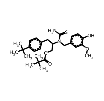 COc1cc(CN(C(N)=S)C(COC(=O)C(C)(C)C)Cc2ccc(C(C)(C)C)cc2)ccc1O